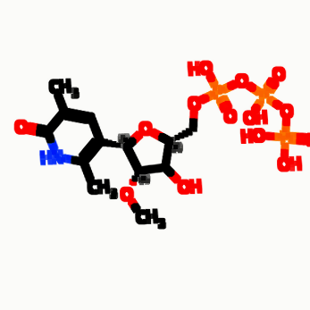 CO[C@H]1C(O)[C@@H](COP(=O)(O)OP(=O)(O)OP(=O)(O)O)O[C@H]1c1cc(C)c(=O)[nH]c1C